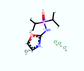 CC(C)P(=O)(Nc1ncco1)C(C)C.[Cl-].[Cl-].[Cl-].[Cr+3]